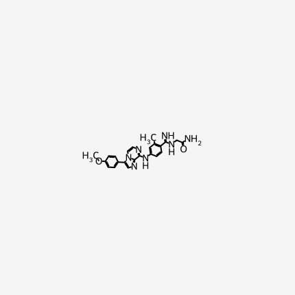 COc1ccc(-c2cnc3c(Nc4ccc(C(=N)NCC(N)=O)c(C)c4)nccn23)cc1